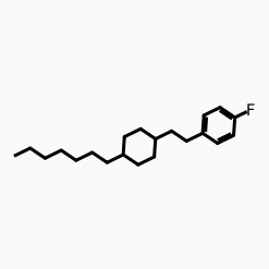 CCCCCCCC1CCC(CCc2ccc(F)cc2)CC1